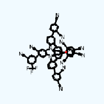 N#Cc1cc(-c2cc(-n3c4ccc(-c5ccc(C#N)cc5C#N)cc4c4cc(-c5ccc(C#N)cc5C#N)ccc43)c(-n3c4ccc(-c5ccc(C#N)cc5C#N)cc4c4cc(-c5ccc(C#N)cc5C#N)ccc43)cc2C#N)cc(C(F)(F)F)c1